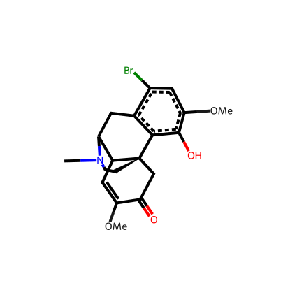 COC1=CC2C3Cc4c(Br)cc(OC)c(O)c4[C@]2(CCN3C)CC1=O